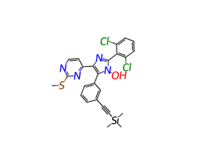 CSc1nccc(-c2nc(-c3c(Cl)cccc3Cl)n(O)c2-c2cccc(C#C[Si](C)(C)C)c2)n1